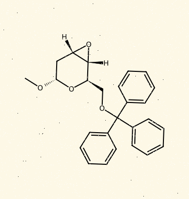 CO[C@@H]1C[C@@H]2O[C@@H]2[C@@H](COC(c2ccccc2)(c2ccccc2)c2ccccc2)O1